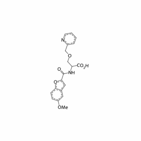 COc1ccc2oc(C(=O)NC(COCc3ccccn3)C(=O)O)cc2c1